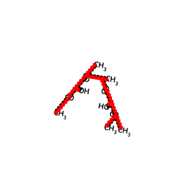 CCCCCCCCCCCOC(=O)CCCCCN(CCO)CCCCCCCC(=O)OC(CCCCCCCC)CCCCCCCCC(CCC)CCCCCOC(=O)CCCCCCCN(CCO)CCCCCC(=O)OC(CCCCCCCC)CCCCCCCC